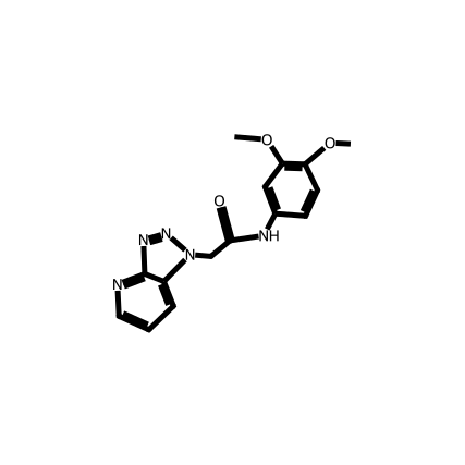 COc1ccc(NC(=O)Cn2nnc3ncccc32)cc1OC